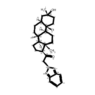 CC[C@]12CC[C@@](C)(O)C[C@@H]1CC[C@H]1[C@@H]3CC[C@H](C(=O)Cn4nc5ccccc5n4)[C@@]3(C)CC[C@@H]12